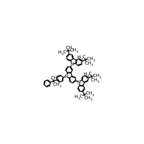 CC(C)(C)c1ccc2c(c1)c1cc(C(C)(C)C)ccc1n2-c1ccc2c(c1)c1cc(-n3c4ccc(C(C)(C)C)cc4c4cc(C(C)(C)C)ccc43)ccc1n2-c1ccc(C(C)(C)c2ccccc2)cc1